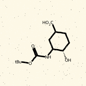 CC(C)(C)OC(=O)NC1CC(C(=O)O)CC[C@@H]1O